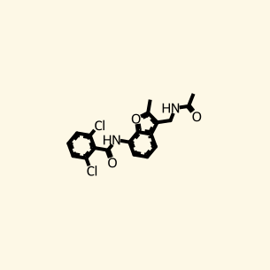 CC(=O)NCc1c(C)oc2c(NC(=O)c3c(Cl)cccc3Cl)cccc12